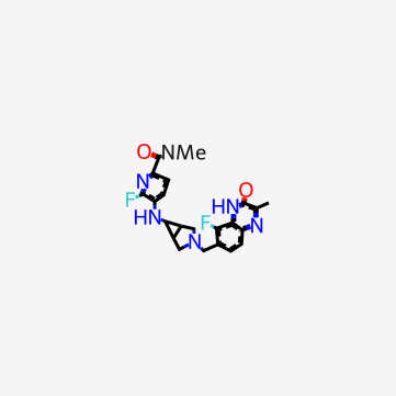 CNC(=O)c1ccc(NC2C3CN(Cc4ccc5nc(C)c(=O)[nH]c5c4F)CC32)c(F)n1